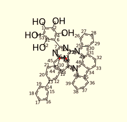 Oc1c(O)c(O)c(-c2nc(-c3ccc(-c4ccccc4)cc3)nc(-n3c4ccccc4c4ccc5c6ccccc6n(-c6ccccc6)c5c43)n2)c(O)c1O